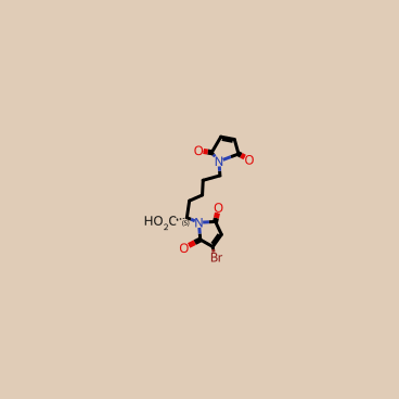 O=C(O)[C@H](CCCCN1C(=O)C=CC1=O)N1C(=O)C=C(Br)C1=O